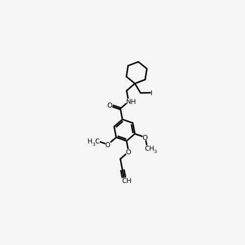 C#CCOc1c(OC)cc(C(=O)NCC2(CI)CCCCC2)cc1OC